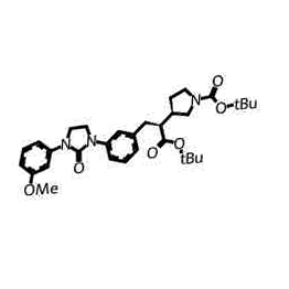 COc1cccc(N2CCN(c3cccc(C[C@H](C(=O)OC(C)(C)C)[C@H]4CCN(C(=O)OC(C)(C)C)C4)c3)C2=O)c1